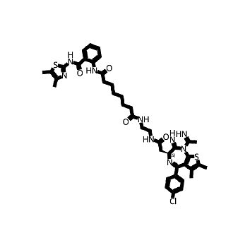 CC(=N)N1C(=N)[C@H](CC(=O)NCCNC(=O)CCCCCCC(=O)Nc2ccccc2C(=O)Nc2nc(C)c(C)s2)N=C(c2ccc(Cl)cc2)c2c1sc(C)c2C